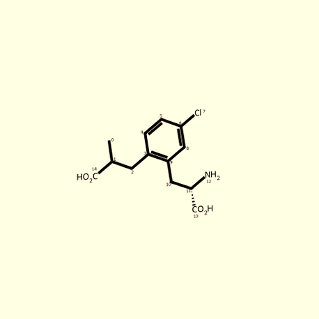 CC(Cc1ccc(Cl)cc1C[C@H](N)C(=O)O)C(=O)O